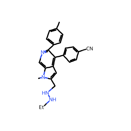 CCNNCc1cc2c(-c3ccc(C#N)cc3)c(-c3ccc(C)cc3)ncc2n1C